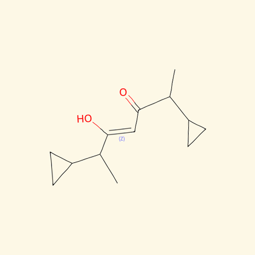 CC(C(=O)/C=C(\O)C(C)C1CC1)C1CC1